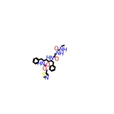 CCNC(=O)NCC(=O)NC(CCC(Cc1ccccc1)NC(=O)OCc1cncs1)Cc1ccccc1